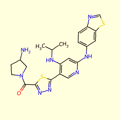 CC(C)Nc1cc(Nc2ccc3ncsc3c2)ncc1-c1nnc(C(=O)N2CCC(N)C2)s1